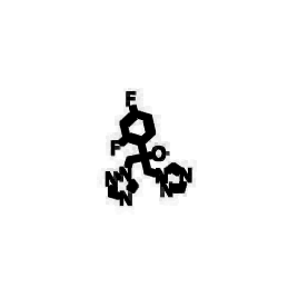 [O]C(Cn1cncn1)(Cn1cncn1)c1ccc(F)cc1F